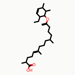 C=C(CCCC(C)CCC/C(C)=C/CCC(C)C(=O)O)OC1C(CC)C=CC(C)C1C